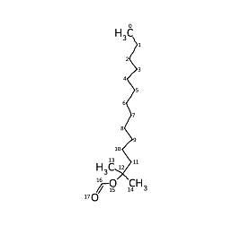 CCCCCCCCCCCCC(C)(C)OC=O